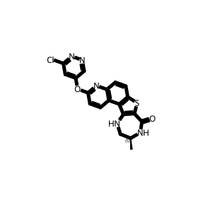 C[C@H]1CNc2c(sc3ccc4nc(Oc5cnnc(Cl)c5)ccc4c23)C(=O)N1